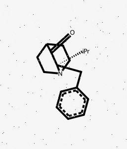 CC(C)[C@@]1(Cc2ccccc2)C(=O)C2CCN1CC2